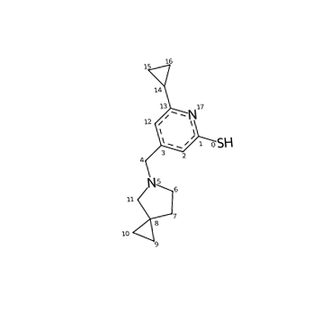 Sc1cc(CN2CCC3(CC3)C2)cc(C2CC2)n1